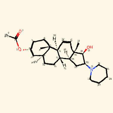 CC(C)C(=O)O[C@@H]1CC[C@@]2(C)[C@@H](CC[C@@H]3[C@@H]2CC[C@]2(C)[C@@H](O)[C@@H](N4CCCCC4)C[C@@H]32)C1